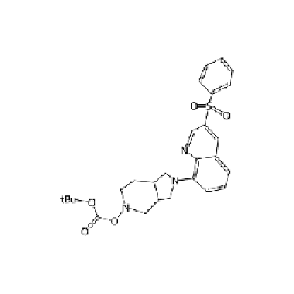 CC(C)(C)OC(=O)ON1CCC2CN(c3cccc4cc(S(=O)(=O)c5ccccc5)cnc34)CC2C1